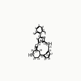 Cc1cccc(C)c1-c1cc2nc(n1)NCc1cccc(c1)C1CCNC[C@H](C1)O2